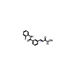 O=C(/C=C/c1cccc(C(=O)Nc2ccccc2F)c1)NO